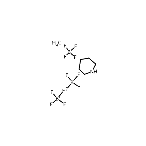 C.C1CCNCC1.F[B-](F)(F)F.F[B-](F)(F)F.F[B-](F)(F)F